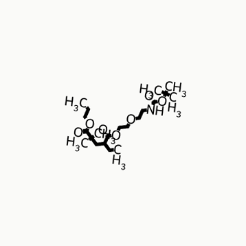 CCCOC(=O)C(C)(C)CC(CC)C(=O)OCCOCCNC(=O)OC(C)(C)C